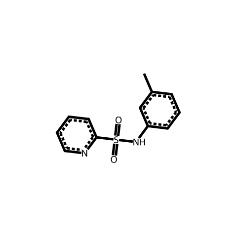 Cc1cccc(NS(=O)(=O)c2ccccn2)c1